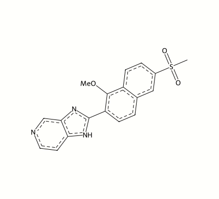 COc1c(-c2nc3cnccc3[nH]2)ccc2cc(S(C)(=O)=O)ccc12